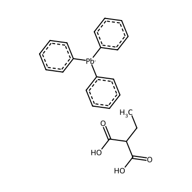 CCC(C(=O)O)C(=O)O.c1cc[c]([Pb]([c]2ccccc2)[c]2ccccc2)cc1